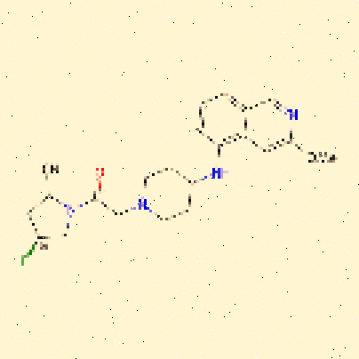 COc1cc2c(NC3CCN(CC(=O)N4C[C@@H](F)CC4C#N)CC3)cccc2cn1